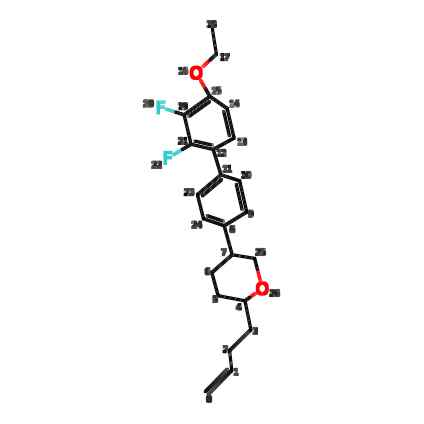 C=CCCC1CCC(c2ccc(-c3ccc(OCC)c(F)c3F)cc2)CO1